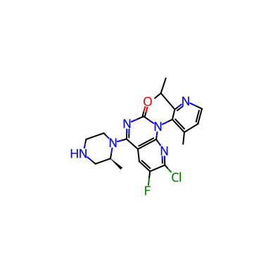 Cc1ccnc(C(C)C)c1-n1c(=O)nc(N2CCNC[C@@H]2C)c2cc(F)c(Cl)nc21